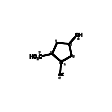 [CH2]C(=O)N1CC(O)CC1C(=O)O